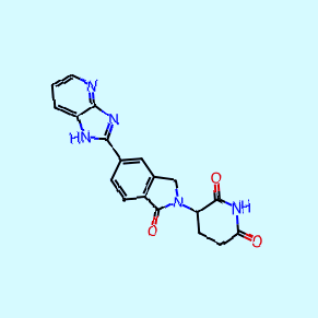 O=C1CCC(N2Cc3cc(-c4nc5ncccc5[nH]4)ccc3C2=O)C(=O)N1